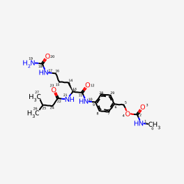 CNC(=O)OCc1ccc(NC(=O)[C@H](CCCNC(N)=O)NC(=O)CC(C)C)cc1